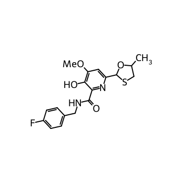 COc1cc(C2OC(C)CS2)nc(C(=O)NCc2ccc(F)cc2)c1O